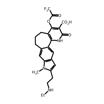 CCNCCc1cc2cc3c(cc2n1C)CCCc1c-3[nH]c(=O)c(C(=O)O)c1OC(=O)C(F)(F)F